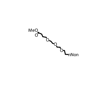 CCCCCCCCCCCOCCOCCOCCCC(=O)OC